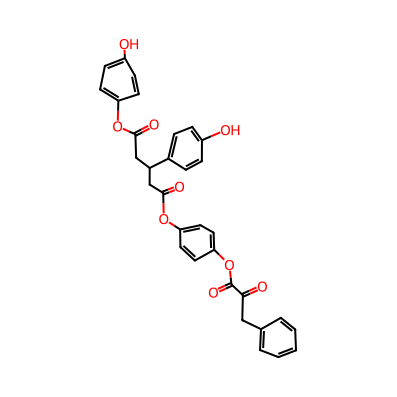 O=C(CC(CC(=O)Oc1ccc(OC(=O)C(=O)Cc2ccccc2)cc1)c1ccc(O)cc1)Oc1ccc(O)cc1